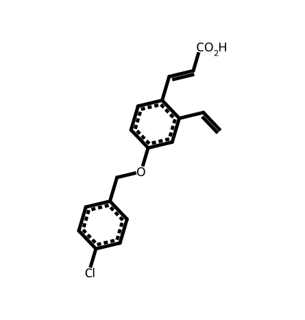 C=Cc1cc(OCc2ccc(Cl)cc2)ccc1/C=C/C(=O)O